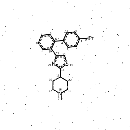 CC(C)c1ccc(-c2ccccc2-c2csc(C3CCNCC3)n2)cc1